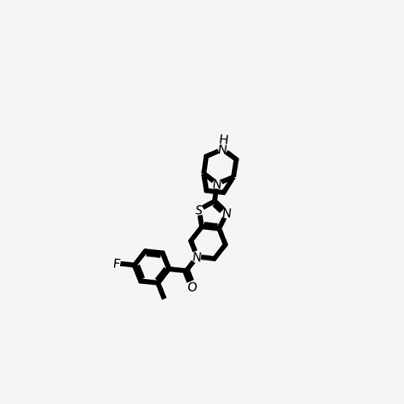 Cc1cc(F)ccc1C(=O)N1CCc2nc(N3C4CCC3CNC4)sc2C1